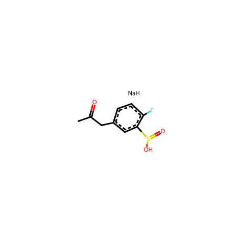 CC(=O)Cc1ccc(F)c(S(=O)O)c1.[NaH]